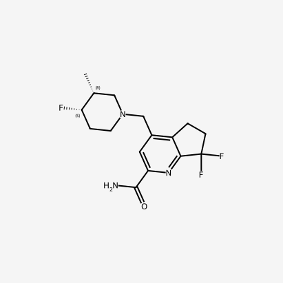 C[C@@H]1CN(Cc2cc(C(N)=O)nc3c2CCC3(F)F)CC[C@@H]1F